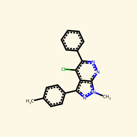 Cc1ccc(-c2nn(C)c3nnc(-c4ccccc4)c(Cl)c23)cc1